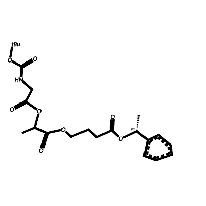 CC(OC(=O)CNC(=O)OC(C)(C)C)C(=O)OCCCC(=O)O[C@H](C)c1ccccc1